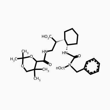 CCCCCCCCN(Cc1ccccc1)C(=O)N[C@H]1CCCC[C@H]1C(CNC(=O)C1OC(C)(C)OCC1(C)C)C(=O)O